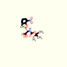 Cc1cccc([N+](=O)[O-])c1OC[C@H](NC(=O)OC(C)(C)C)C(=O)O